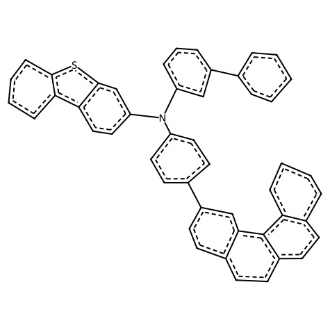 c1ccc(-c2cccc(N(c3ccc(-c4ccc5ccc6ccc7ccccc7c6c5c4)cc3)c3ccc4c(c3)sc3ccccc34)c2)cc1